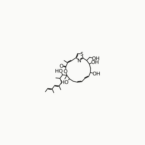 C/C=C(C)/C=C(\C)CC(C)C(O)C1(C)OC(=O)/C(C)=C/c2csc(n2)C(CO)C(O)CC(O)/C=C/C=C\CC1O